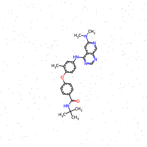 Cc1cc(Nc2ncnc3cnc(N(C)C)cc23)ccc1Oc1ccc(C(=O)NC(C)(C)C)cc1